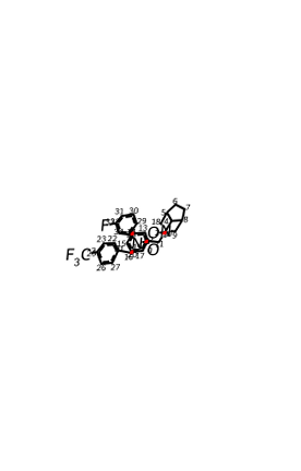 O=C(OCC1C2CCC1CN(Cc1ccccc1)C2)N(Cc1ccc(C(F)(F)F)cc1)c1cccc(F)c1